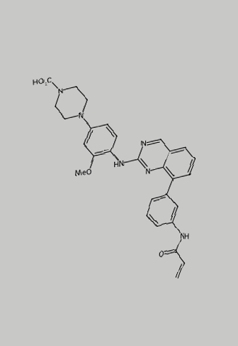 C=CC(=O)Nc1cccc(-c2cccc3cnc(Nc4ccc(N5CCN(C(=O)O)CC5)cc4OC)nc23)c1